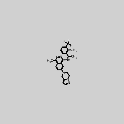 Cc1c(C(C)Nc2nnc(C)c3ccc(N4CCn5nccc5C4)cc23)cccc1C(F)(F)F